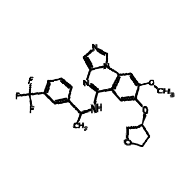 COc1cc2c(cc1O[C@H]1CCOC1)c(NC(C)c1cccc(C(F)(F)F)c1)nc1cncn12